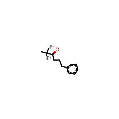 CC(C)C(C)(C(=O)CCCc1ccccc1)C(C)C